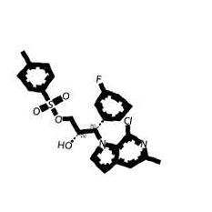 Cc1ccc(S(=O)(=O)OC[C@@H](O)[C@H](c2cccc(F)c2)n2ccc3cc(C)nc(Cl)c32)cc1